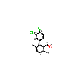 Cc1ccc(C)c(-c2ccc(Cl)c(Cl)c2)c1C=O